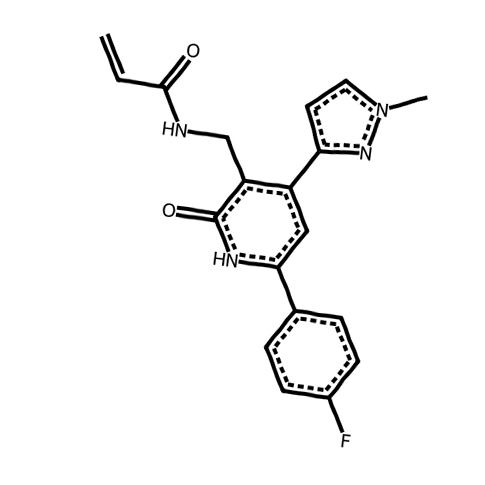 C=CC(=O)NCc1c(-c2ccn(C)n2)cc(-c2ccc(F)cc2)[nH]c1=O